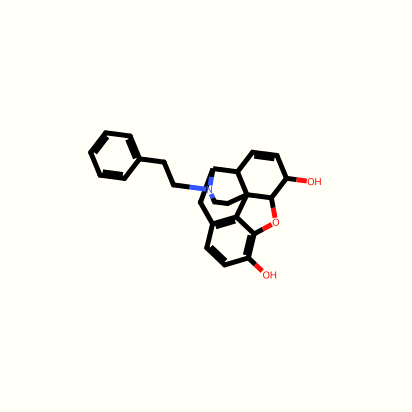 Oc1ccc2c3c1OC1C(O)C=CC4C(C2)N(CCc2ccccc2)CCC341